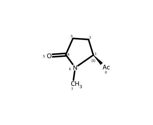 CC(=O)[C@@H]1CCC(=O)N1C